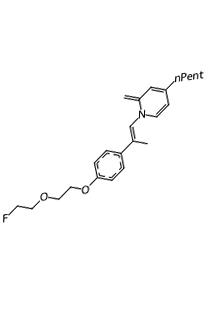 C=C1C=C(CCCCC)C=CN1/C=C(\C)c1ccc(OCCOCCF)cc1